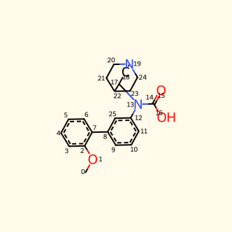 COc1ccccc1-c1cccc(N(C(=O)O)C2CN3CCC2CC3)c1